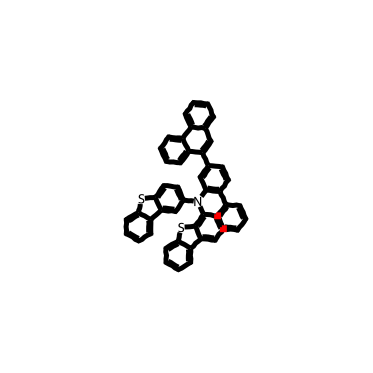 c1ccc(-c2ccc(-c3cc4ccccc4c4ccccc34)cc2N(c2ccc3sc4ccccc4c3c2)c2cccc3c2sc2ccccc23)cc1